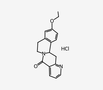 CCOc1ccc2c(c1)CCN1C(=O)c3cccnc3CC21.Cl